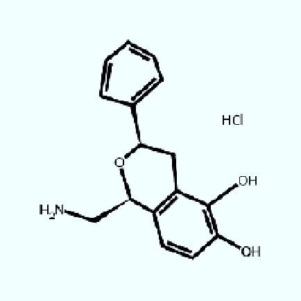 Cl.NC[C@H]1O[C@@H](c2ccccc2)Cc2c1ccc(O)c2O